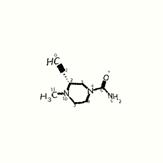 C#C[C@@H]1CN(C(N)=O)CCN1C